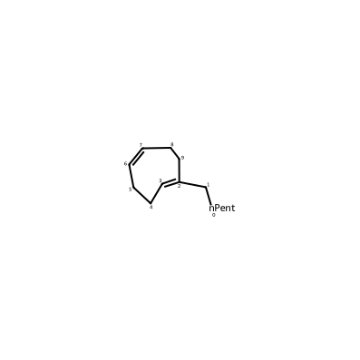 CCCCCC/C1=C\CC/C=C\CC1